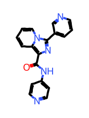 O=C(Nc1ccncc1)c1nc(-c2cccnc2)n2ccccc12